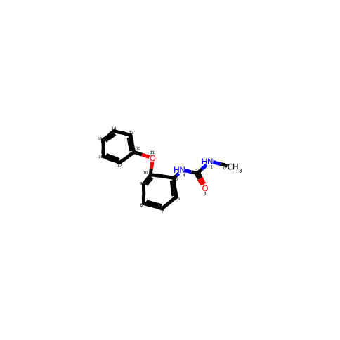 CNC(=O)Nc1ccccc1Oc1ccccc1